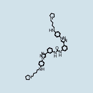 O=C(Nc1cccc(-c2cn(-c3ccc(NCCCCN4CCCC4)cc3)nn2)c1)Nc1cccc(-c2cn(-c3ccc(NCCCCN4CCCC4)cc3)nn2)c1